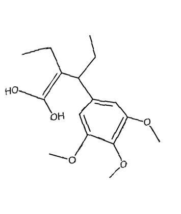 CCC(=C(O)O)C(CC)c1cc(OC)c(OC)c(OC)c1